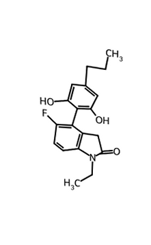 CCCc1cc(O)c(-c2c(F)ccc3c2CC(=O)N3CC)c(O)c1